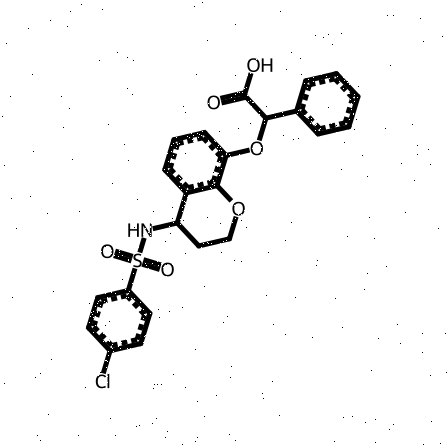 O=C(O)C(Oc1cccc2c1OCCC2NS(=O)(=O)c1ccc(Cl)cc1)c1ccccc1